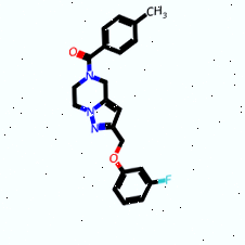 Cc1ccc(C(=O)N2CCn3nc(COc4cccc(F)c4)cc3C2)cc1